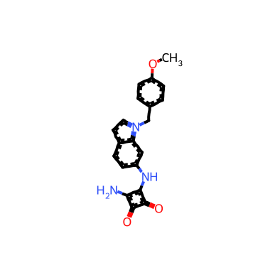 COc1ccc(Cn2ccc3ccc(Nc4c(N)c(=O)c4=O)cc32)cc1